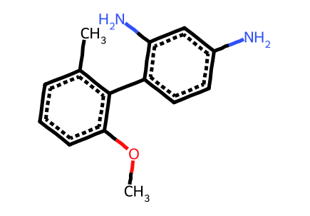 COc1cccc(C)c1-c1ccc(N)cc1N